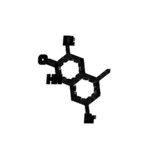 CCc1cc2c(C)cc(Br)cc2[nH]c1=O